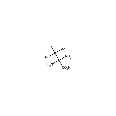 CC(=O)C(C)(C(C)=O)C(N)(N)C(=O)O